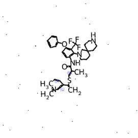 C=N/C=C(\C=C/C)C(=C)S/C=C(\C)C(=O)Nc1ccc(Oc2ccccc2)c(C(F)(F)F)c1N1CCCC2(CCNCC2)C1